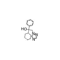 OC(Cn1cncn1)(c1ccccc1)C1CCCCC1